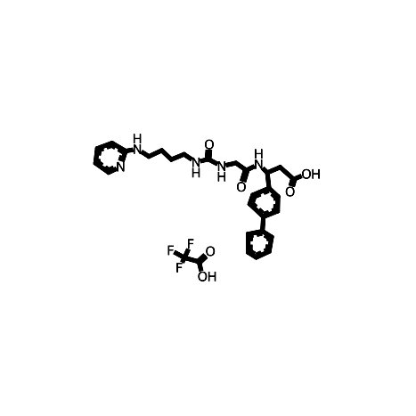 O=C(O)C(F)(F)F.O=C(O)CC(NC(=O)CNC(=O)NCCCCNc1ccccn1)c1ccc(-c2ccccc2)cc1